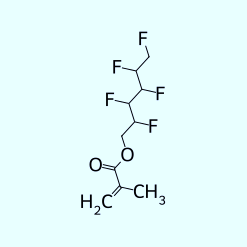 C=C(C)C(=O)OCC(F)C(F)C(F)C(F)CF